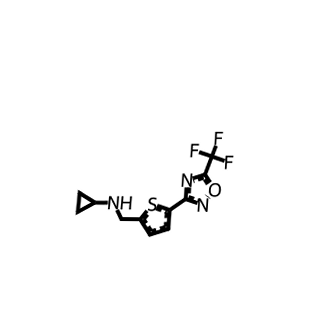 FC(F)(F)c1nc(-c2ccc(CNC3CC3)s2)no1